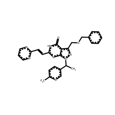 CC(c1ccc(C(F)(F)F)nc1)n1nc(COCc2ccccc2)c2c(=O)[nH]c(C=Cc3ncccn3)nc21